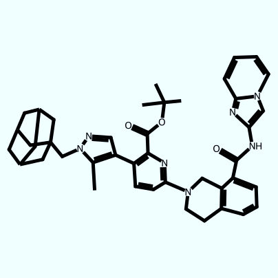 Cc1c(-c2ccc(N3CCc4cccc(C(=O)Nc5cn6ccccc6n5)c4C3)nc2C(=O)OC(C)(C)C)cnn1CC12CC3CC(CC(C3)C1)C2